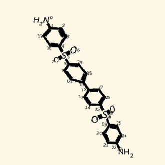 Nc1ccc(S(=O)(=O)c2ccc(-c3ccc(S(=O)(=O)c4ccc(N)cc4)cc3)cc2)cc1